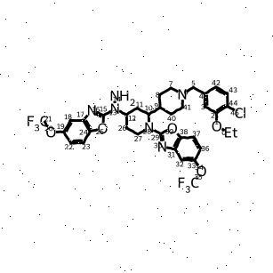 CCOc1cc(CN2CCC(C3CC(N(N)c4nc5cc(OC(F)(F)F)ccc5o4)CCN3c3nc4cc(OC(F)(F)F)ccc4o3)CC2)ccc1Cl